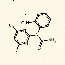 Cc1cc(Cl)nc(N(C(N)=O)c2ccccc2[N+](=O)[O-])n1